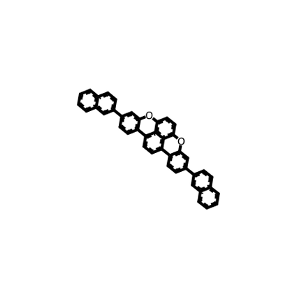 c1ccc2cc(-c3ccc4c(c3)Oc3ccc5c6c(ccc-4c36)-c3ccc(-c4ccc6ccccc6c4)cc3O5)ccc2c1